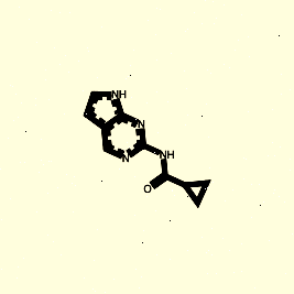 O=C(Nc1ncc2cc[nH]c2n1)C1CC1